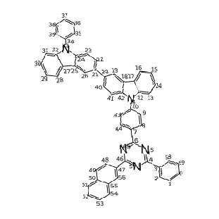 c1ccc(-c2nc(-c3ccc(-n4c5ccccc5c5cc(-c6ccc7c(c6)c6ccccc6n7-c6ccccc6)ccc54)cc3)nc(-c3ccc4ccccc4c3)n2)cc1